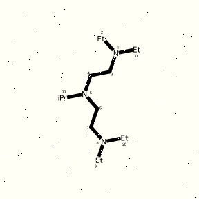 CCN(CC)CCN(CCN(CC)CC)C(C)C